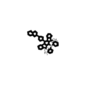 CC1(C)c2ccccc2-c2c(-c3ccc(-c4ccc5ccccc5c4)cc3)c3c(c(N(c4ccccc4)c4ccccc4)c21)C(C)(C)c1ccccc1-3